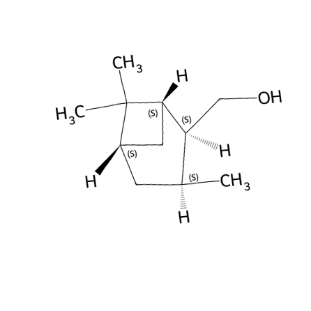 C[C@H]1C[C@H]2C[C@@H]([C@H]1CO)C2(C)C